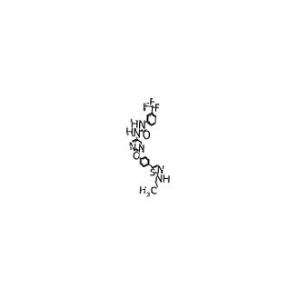 CCCNc1ncc(-c2ccc(Oc3ncc(NC(=O)Nc4cccc(C(F)(F)F)c4)cn3)cc2)s1